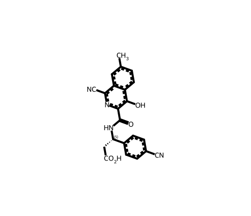 Cc1ccc2c(O)c(C(=O)N[C@@H](CC(=O)O)c3ccc(C#N)cc3)nc(C#N)c2c1